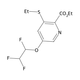 CCOC(=O)c1ncc(OC(F)C(F)F)cc1SCC